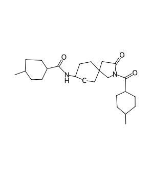 CC1CCC(C(=O)NC2CCC3(CC2)CC(=O)N(C(=O)C2CCC(C)CC2)C3)CC1